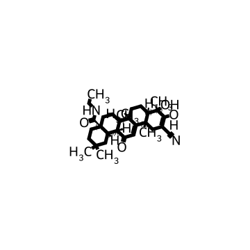 CCNC(=O)[C@]12CCC(C)(C)C[C@H]1[C@H]1C(=O)C=C3[C@@]4(C)CC(C#N)=C(O)[C@@](C)(O)[C@@H]4CC[C@@]3(C)[C@]1(C)CC2